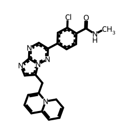 CNC(=O)c1ccc(-c2cnc3ncc(CC4=CC=CC5=CC=CCN54)n3n2)cc1Cl